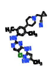 Cc1cc(Nc2nc(Nc3cc(C)c(C4CCN(CC5(C#N)CC5)CC4)cc3C)ncc2Cl)n[nH]1